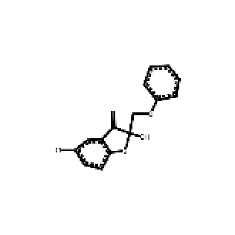 C=C1c2cc(Cl)ccc2SC1(O)COc1ccccc1